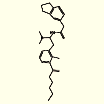 C=C(Cc1ccc2c(c1)CCC2)NC(Cc1cccc(C(=C)CCCCC)c1C)B(C)C